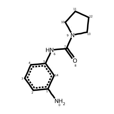 Nc1cccc(NC(=O)N2CCCC2)c1